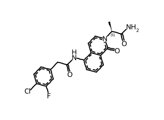 C[C@@H](C(N)=O)n1ccc2c(NC(=O)Cc3ccc(Cl)c(F)c3)cccc2c1=O